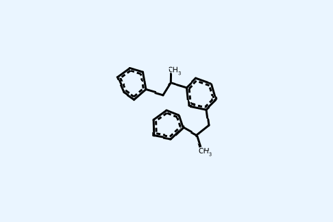 CC(Cc1cccc(C(C)Cc2ccccc2)c1)c1ccccc1